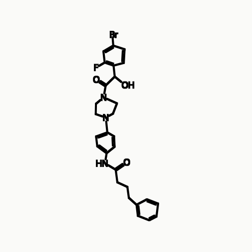 O=C(CCCc1ccccc1)Nc1ccc(N2CCN(C(=O)C(O)c3ccc(Br)cc3F)CC2)cc1